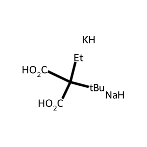 CCC(C(=O)O)(C(=O)O)C(C)(C)C.[KH].[NaH]